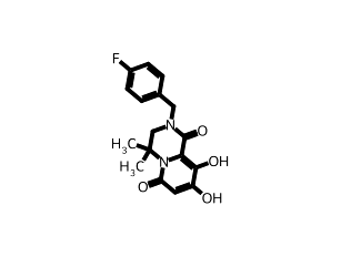 CC1(C)CN(Cc2ccc(F)cc2)C(=O)c2c(O)c(O)cc(=O)n21